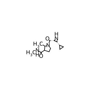 CNC(=O)C1CCN(C(=O)[C@@H]2N[C@@H]2C2CC2)C1C